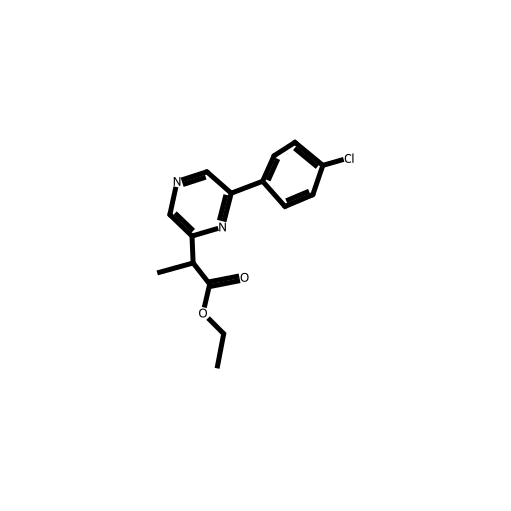 CCOC(=O)C(C)c1cncc(-c2ccc(Cl)cc2)n1